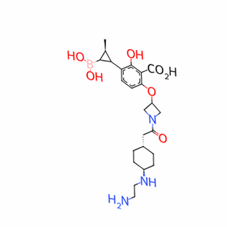 C[C@@H]1C(B(O)O)C1c1ccc(OC2CN(C(=O)C[C@H]3CC[C@H](NCCN)CC3)C2)c(C(=O)O)c1O